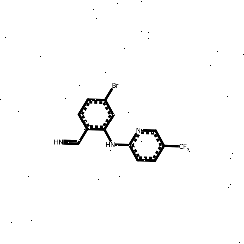 N=Cc1ccc(Br)cc1Nc1ccc(C(F)(F)F)cn1